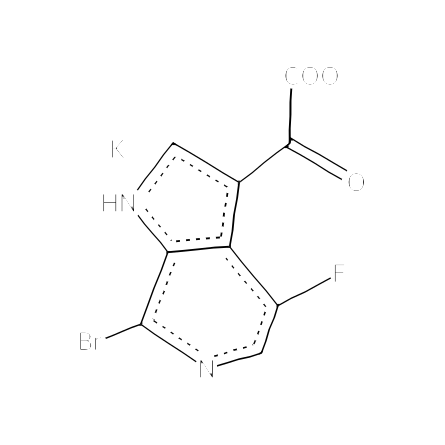 O=C([O-])C(=O)c1c[nH]c2c(Br)ncc(F)c12.[K+]